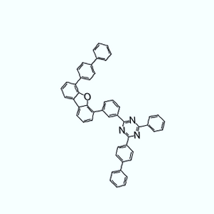 c1ccc(-c2ccc(-c3nc(-c4ccccc4)nc(-c4cccc(-c5cccc6c5oc5c(-c7ccc(-c8ccccc8)cc7)cccc56)c4)n3)cc2)cc1